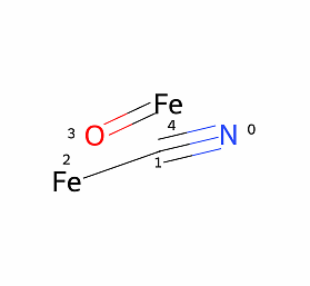 N#[C][Fe].[O]=[Fe]